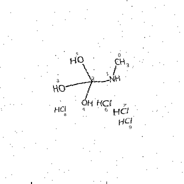 CNC(O)(O)O.Cl.Cl.Cl.Cl